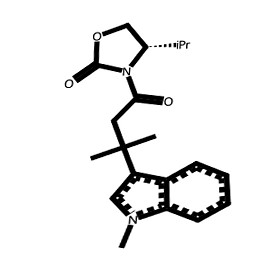 CC(C)[C@H]1COC(=O)N1C(=O)CC(C)(C)c1cn(C)c2ccccc12